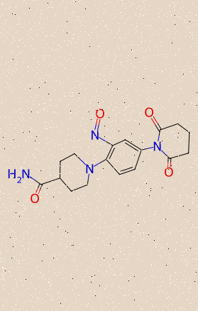 NC(=O)C1CCN(c2ccc(N3C(=O)CCCC3=O)cc2N=O)CC1